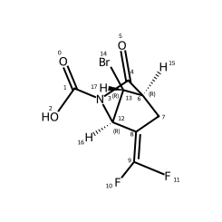 O=C(O)N1C(=O)[C@H]2CC(=C(F)F)[C@@H]1[C@@H]2Br